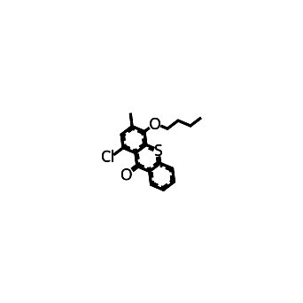 CCCCOc1c(C)cc(Cl)c2c(=O)c3ccccc3sc12